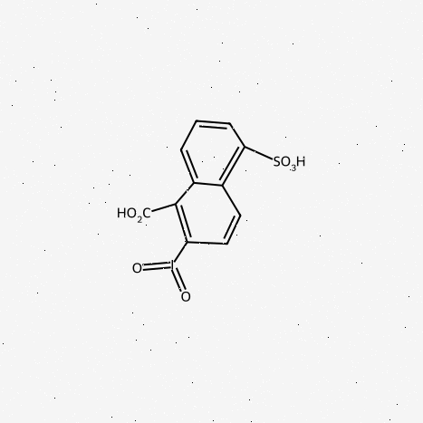 O=C(O)c1c(I(=O)=O)ccc2c(S(=O)(=O)O)cccc12